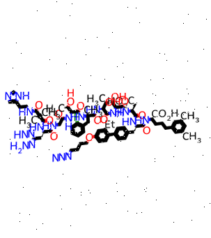 CCc1cc(OCCCCN=[N+]=[N-])ccc1-c1ccc(C[C@H](NC(=O)[C@H](CC(=O)O)NC(=O)C(CO)NC(=O)[C@@H](NC(=O)[C@](C)(Cc2ccccc2F)NC(=O)[C@@H](NC(=O)CNC(=O)[C@H](C/C(N=N)=N/N)NC(=O)C(C)(C)C(=O)NCCc2cnc[nH]2)[C@@H](C)O)[C@@H](C)O)C(=O)N[C@@H](CCCc2cc(C)cc(C)c2)C(=O)O)cc1